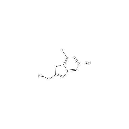 OCC1=Cc2cc(O)cc(F)c2C1